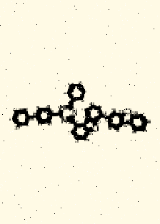 C1=CCC(c2nc(-c3ccc(-c4ccccc4)cc3)nc(-c3cccc4oc5c(-c6ccc7c(c6)oc6ccccc67)cccc5c34)n2)C=C1